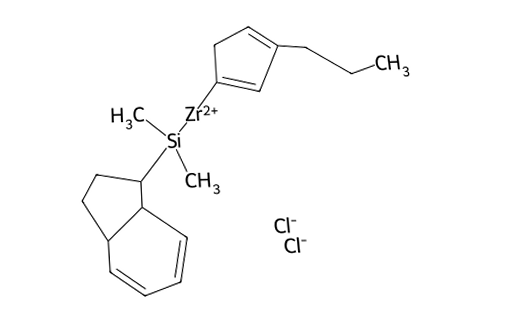 CCCC1=CC[C]([Zr+2][Si](C)(C)C2CCC3C=CC=CC32)=C1.[Cl-].[Cl-]